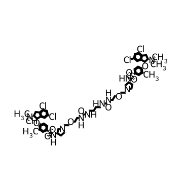 Cc1cc(S(=O)(=O)N[C@H]2CCN(CCOCCNC(=O)NCCCCNC(=O)NCCOCCN3CC[C@H](NS(=O)(=O)c4ccc(O[C@H]5c6cc(Cl)cc(Cl)c6C[C@@H]5N(C)C)c(C)c4)C3)C2)ccc1O[C@H]1c2cc(Cl)cc(Cl)c2C[C@@H]1N(C)C